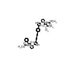 COC(=O)N[C@H](C(=O)N1CCC[C@H]1c1nc(-c2ccc(C#CC#Cc3c[nH]c([C@@H]4CCCN4C(=O)[C@H](NC(=O)OC)c4ccccc4)n3)cc2)c[nH]1)C(C)C